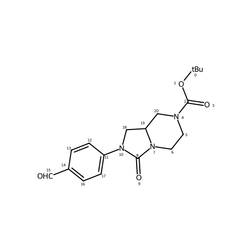 CC(C)(C)OC(=O)N1CCN2C(=O)N(c3ccc(C=O)cc3)CC2C1